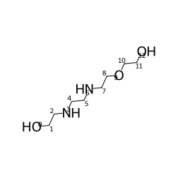 OCCNCCNCCOCCO